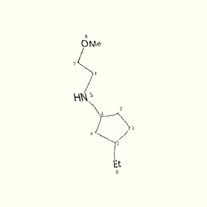 CCC1CCC(NCCOC)C1